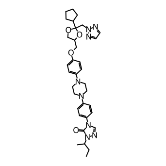 CCC(C)n1ncn(-c2ccc(N3CCN(c4ccc(OCC5COC(Cn6nccn6)(C6CCCC6)O5)cc4)CC3)cc2)c1=O